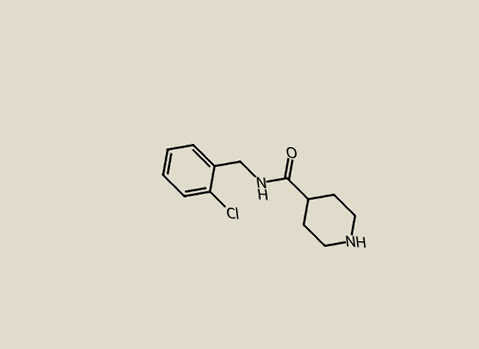 O=C(NCc1ccccc1Cl)C1CCNCC1